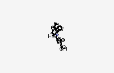 O=C(O)CCN1CCN(C/C=C2/CN(C(C(=O)C3CC3)c3ccccc3F)CCC2S)CC1=O